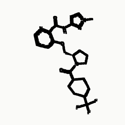 Cn1ccc(NC(=O)c2ncccc2OC[C@@H]2CCCN2C(=O)C2CCC(C(F)(F)F)CC2)n1